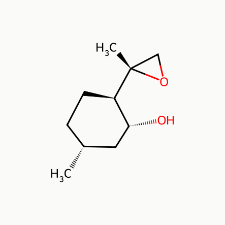 C[C@@H]1CC[C@@H]([C@]2(C)CO2)[C@H](O)C1